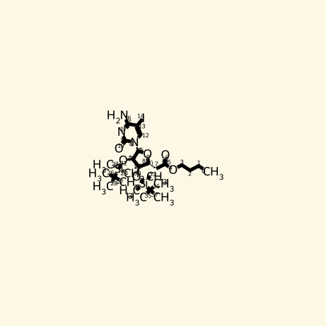 CCCCOC(=O)C[C@H]1O[C@@H](n2cc(I)c(N)nc2=O)[C@H](O[Si](C)(C)C(C)(C)C)[C@@H]1O[Si](C)(C)C(C)(C)C